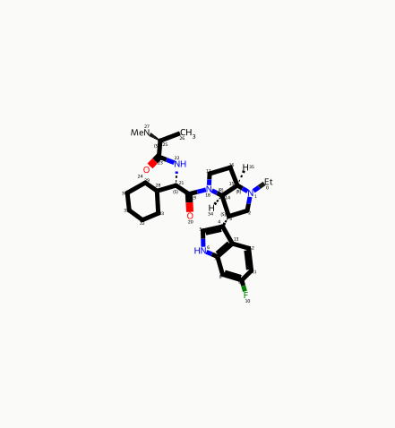 CCN1C[C@H](c2c[nH]c3cc(F)ccc23)[C@@H]2[C@H]1CCN2C(=O)[C@@H](NC(=O)[C@H](C)NC)C1CCCCC1